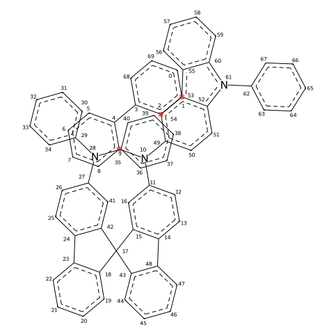 c1ccc(-c2ccccc2N(c2ccc3c(c2)C2(c4ccccc4-c4ccc(N(c5ccccc5)c5ccccc5)cc42)c2ccccc2-3)c2ccc3c(c2)c2ccccc2n3-c2ccccc2)cc1